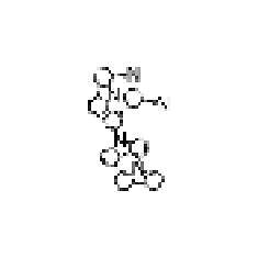 N#Cc1ccc(-n2c3ccccc3c3cccc(C#N)c32)c(-c2cccc(-n3c4ccccc4c4c(-n5c6ccccc6c6ccccc65)cccc43)c2)c1